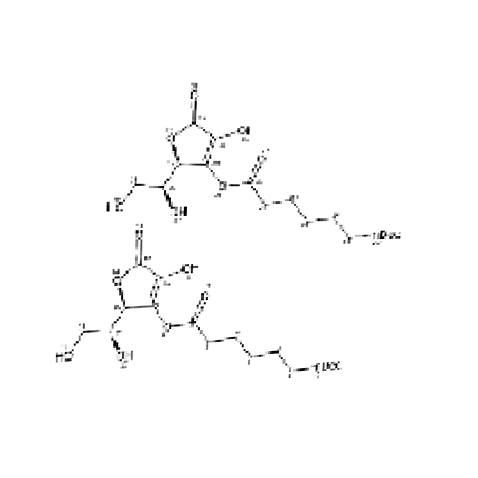 CCCCCCCCCCCCCCCC(=O)OC1=C(O)C(=O)O[C@@H]1[C@@H](O)CO.CCCCCCCCCCCCCCCC(=O)OC1=C(O)C(=O)O[C@@H]1[C@@H](O)CO